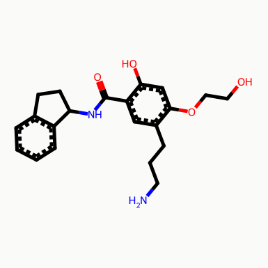 NCCCc1cc(C(=O)NC2CCc3ccccc32)c(O)cc1OCCO